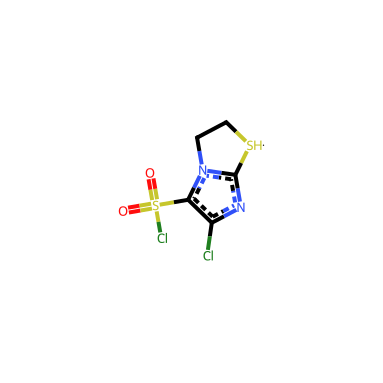 O=S(=O)(Cl)c1c(Cl)nc2n1CC[SH]2